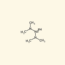 C[N](C)[Nd][N](C)C.F